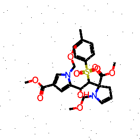 COCN1C=CCC1(C(=O)OC)C(C(O)c1cc(C(=O)OC)cn1COC)S(=O)(=O)c1ccc(C)cc1